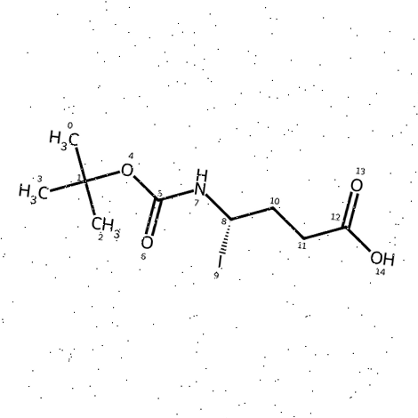 CC(C)(C)OC(=O)N[C@@H](I)CCC(=O)O